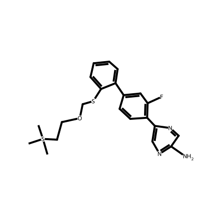 CS(C)(C)CCOCSc1ccccc1-c1ccc(-c2cnc(N)cn2)c(F)c1